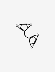 O1C2=C(OC3=C4OC4=C4OC34)C3OC3=C12